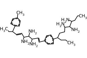 CCCC(CCC(N)C(N)C(N)CCC)c1ccc(/C=C/C(N)C(N)C(N)/C=C/C(CC)c2ccc(C)cc2)cc1